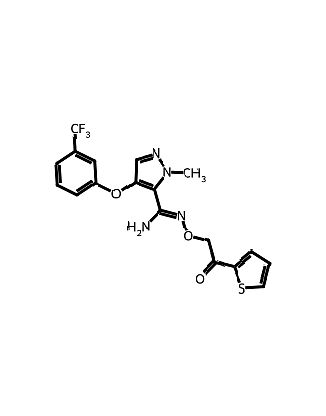 Cn1ncc(Oc2cccc(C(F)(F)F)c2)c1/C(N)=N/OCC(=O)c1cccs1